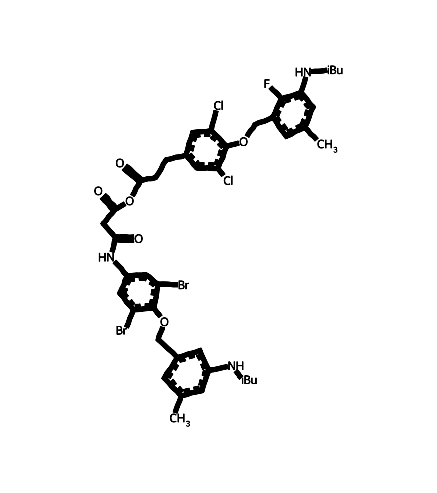 CCC(C)Nc1cc(C)cc(COc2c(Br)cc(NC(=O)CC(=O)OC(=O)CCc3cc(Cl)c(OCc4cc(C)cc(NC(C)CC)c4F)c(Cl)c3)cc2Br)c1